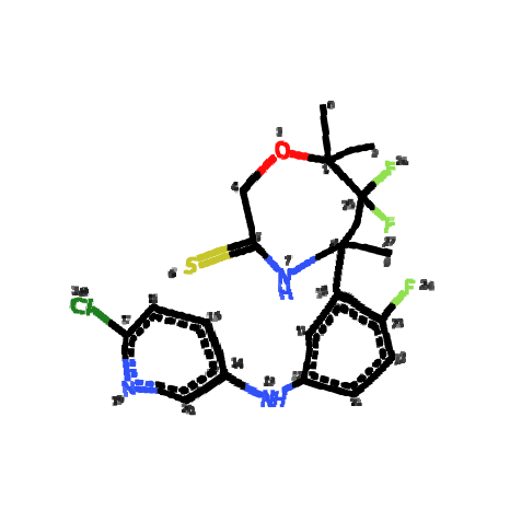 CC1(C)OCC(=S)NC(C)(c2cc(Nc3ccc(Cl)nc3)ccc2F)C1(F)F